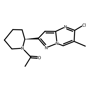 CC(=O)N1CCCC[C@H]1c1cc2nc(Cl)c(C)cn2n1